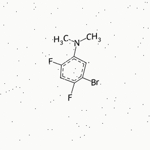 CN(C)c1[c]c(Br)c(F)cc1F